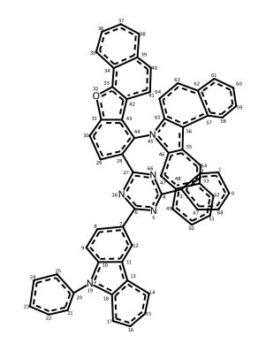 c1ccc(-c2nc(-c3ccc4c(c3)c3ccccc3n4-c3ccccc3)nc(-c3ccc4oc5c6ccccc6ccc5c4c3-n3c4cc5ccccc5cc4c4c5ccccc5ccc43)n2)cc1